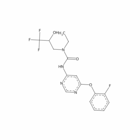 CCN(CC(O)C(F)(F)F)C(=O)Nc1cc(Oc2ccccc2F)ncn1